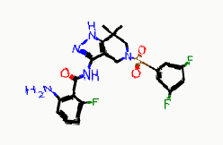 CC1(C)CN(S(=O)(=O)c2cc(F)cc(F)c2)Cc2c(NC(=O)c3c(N)cccc3F)n[nH]c21